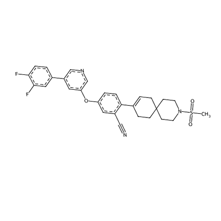 CS(=O)(=O)N1CCC2(CC=C(c3ccc(Oc4cncc(-c5ccc(F)c(F)c5)c4)cc3C#N)CC2)CC1